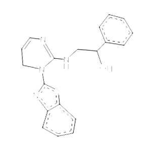 OC(CNC1=NC=C[CH]N1c1nc2ccccc2s1)c1ccccc1